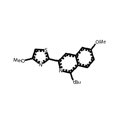 COc1ccc2c(C(C)(C)C)nc(-c3nc(OC)cs3)cc2c1